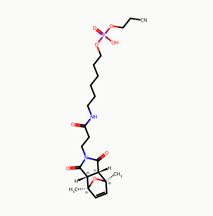 C[C@]12C=C[C@](C)(O1)[C@@H]1C(=O)N(CCC(=O)NCCCCCCOP(=O)(O)OCCC#N)C(=O)[C@@H]12